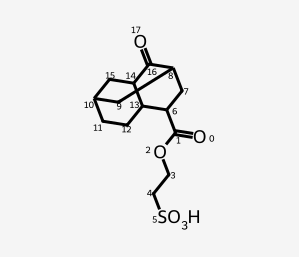 O=C(OCCS(=O)(=O)O)C1CC2CC3CCC1C(C3)C2=O